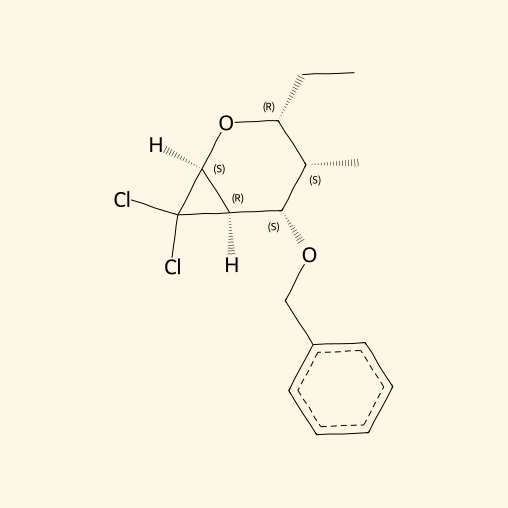 CC[C@H]1O[C@H]2[C@@H]([C@@H](OCc3ccccc3)[C@H]1C)C2(Cl)Cl